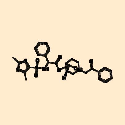 Cc1nc(C)c(S(=O)(=O)NC(C(=O)O[C@H]2C[N+]3(CC(=O)c4ccccc4)CCC2CC3)c2ccccc2)s1